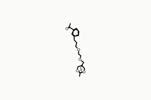 CC(=O)c1cccc(CCCOCCOCC23COC(C)(OC2)OC3)c1